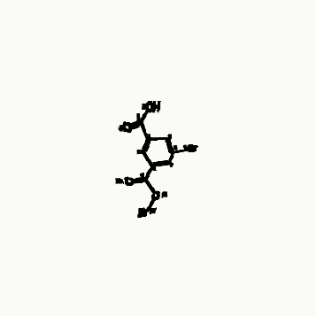 O=C(O)c1cc(Br)cc(C(=O)OBr)c1